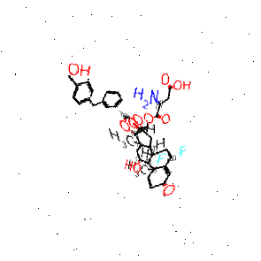 C[C@]12C=CC(=O)C=C1[C@@H](F)C[C@H]1[C@@H]3C[C@H]4O[C@@H](c5cccc(Cc6ccc(CO)cc6)c5)O[C@@]4(C(=O)COC(=O)[C@@H](N)CC(=O)O)[C@@]3(C)C[C@H](O)[C@@]12F